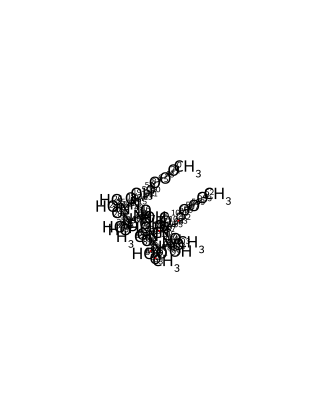 CCOCCOCCOc1ccc(CCC[C@@H](C(=O)O)N2CCN([C@@H](CO)C(=O)O)CCN([C@H](CO)C(=O)O)CCN([C@@H](CO)C(=O)O)CC2)cc1.CCOCCOCCOc1ccc(CCC[C@@H](C(=O)OC)N2CCN([C@@H](CO)C(=O)OC)CCN([C@H](CO)C(=O)OC)CCN([C@@H](CO)C(=O)OC)CC2)cc1